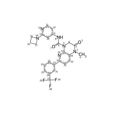 CN1C(=O)CN(C(=O)Nc2ccnc(N3CCC3)c2)c2nc(-c3cccc(C(F)(F)F)c3)ccc21